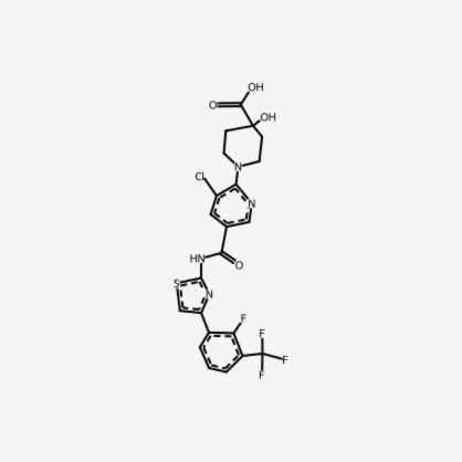 O=C(Nc1nc(-c2cccc(C(F)(F)F)c2F)cs1)c1cnc(N2CCC(O)(C(=O)O)CC2)c(Cl)c1